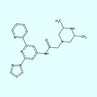 CC1CN(CC(=O)Nc2cc(-c3ccccn3)nc(-n3cccn3)c2)CC(C)N1